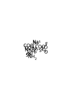 Nc1nc(/C(=N/OCC(=O)[O-])C(=O)N[C@@H]2C(=O)N3C(C(=O)[O-])=C(CSc4cc(=O)c5ccc(F)cc5s4)CS[C@@H]23)cs1.[Na+].[Na+]